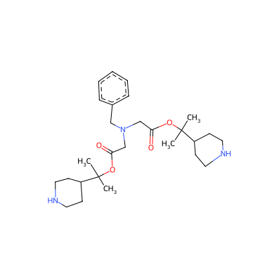 CC(C)(OC(=O)CN(CC(=O)OC(C)(C)C1CCNCC1)Cc1ccccc1)C1CCNCC1